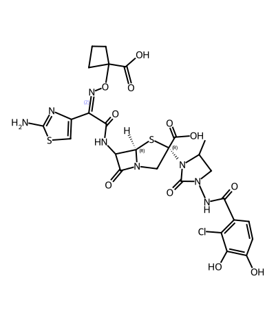 CC1CN(NC(=O)c2ccc(O)c(O)c2Cl)C(=O)N1[C@]1(C(=O)O)CN2C(=O)C(NC(=O)/C(=N\OC3(C(=O)O)CCC3)c3csc(N)n3)[C@H]2S1